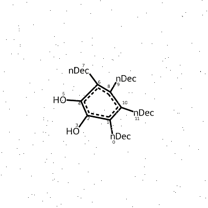 CCCCCCCCCCc1c(O)c(O)c(CCCCCCCCCC)c(CCCCCCCCCC)c1CCCCCCCCCC